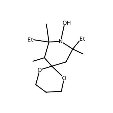 CCC1(C)CC2(OCCCO2)C(C)C(C)(CC)N1O